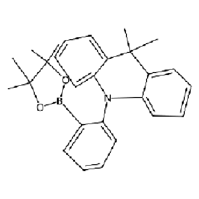 CC1(C)c2ccccc2N(c2ccccc2B2OC(C)(C)C(C)(C)O2)c2ccccc21